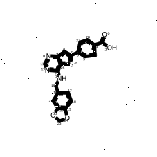 O=C(O)c1ccc(-c2cc3ncnc(NCc4ccc5c(c4)OCO5)c3s2)cc1